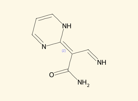 N=C/C(C(N)=O)=C1/N=CC=CN1